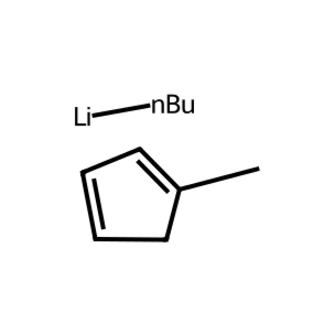 CC1=CC=CC1.[Li][CH2]CCC